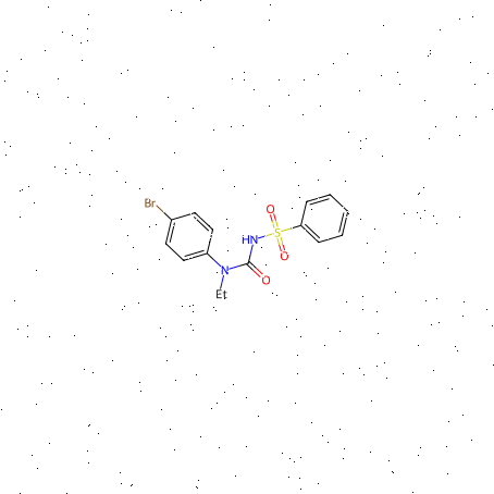 CCN(C(=O)NS(=O)(=O)c1ccccc1)c1ccc(Br)cc1